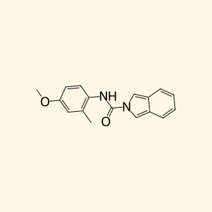 COc1ccc(NC(=O)n2cc3ccccc3c2)c(C)c1